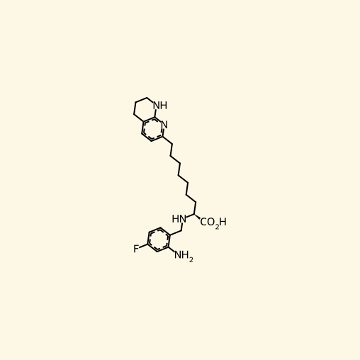 Nc1cc(F)ccc1CN[C@@H](CCCCCCCc1ccc2c(n1)NCCC2)C(=O)O